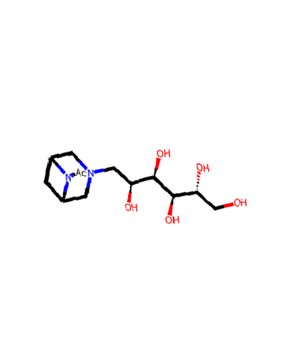 CC(=O)N1C2CC1CN(C[C@H](O)[C@@H](O)[C@H](O)[C@H](O)CO)C2